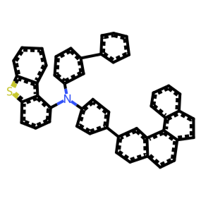 c1ccc(-c2cccc(N(c3ccc(-c4ccc5ccc6ccc7ccccc7c6c5c4)cc3)c3cccc4sc5ccccc5c34)c2)cc1